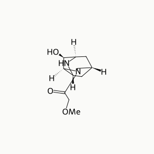 COCC(=O)N1C[C@@H]2C[C@H]3N[C@H](C2)[C@H]1[C@H]3O